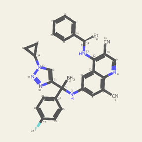 BC(Nc1cc(C#N)c2ncc(C#N)c(N[C@H](CC)c3ccccc3)c2c1)(c1ccc(F)cc1)c1cn(C2CC2)nn1